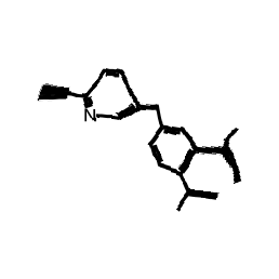 C#Cc1ccc(Cc2ccc(C(=C)C)c(C(=C)C)c2)cn1